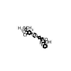 CN(C)C(=O)c1ccc(N2CCN(C3CC4(C3)CN(C(=O)C(O)(c3ccccc3)C(F)(F)F)C4)CC2)cc1Cl